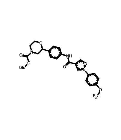 CC(C)(C)OC(=O)N1CCOC(c2ccc(NC(=O)c3cnn(-c4ccc(OC(F)(F)F)cc4)c3)cc2)C1